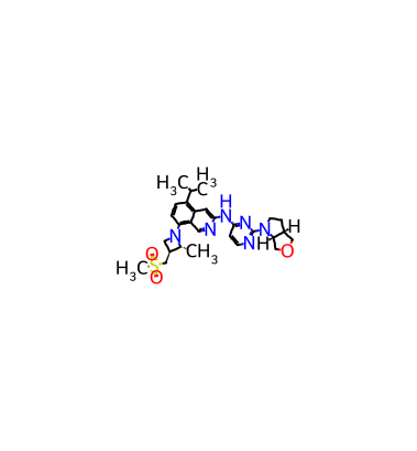 CC(C)c1ccc(N2C[C@H](CS(C)(=O)=O)[C@H]2C)c2cnc(Nc3ccnc(N4CC[C@@H]5COC[C@@H]54)n3)cc12